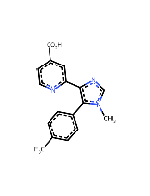 Cn1cnc(-c2cc(C(=O)O)ccn2)c1-c1ccc(C(F)(F)F)cc1